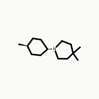 CC1(C)CCN([C@H]2CC[C@H](C)CC2)CC1